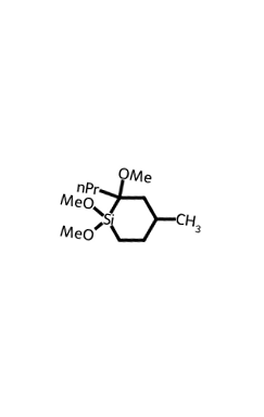 CCCC1(OC)CC(C)CC[Si]1(OC)OC